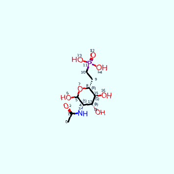 CC(=O)N[C@@H]1C(O)O[C@H](CCP(=O)(O)O)[C@@H](O)[C@@H]1O